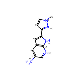 Cn1ccc(-c2cc3cc(N)cnc3[nH]2)n1